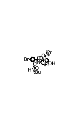 CC(C)C[C@@H](NC(=O)c1ccc(Br)cc1OCC(=O)NC(C)(C)C)C(=O)N1C[C@@H](O)C[C@@H]1C(=O)N(C)C(C)C